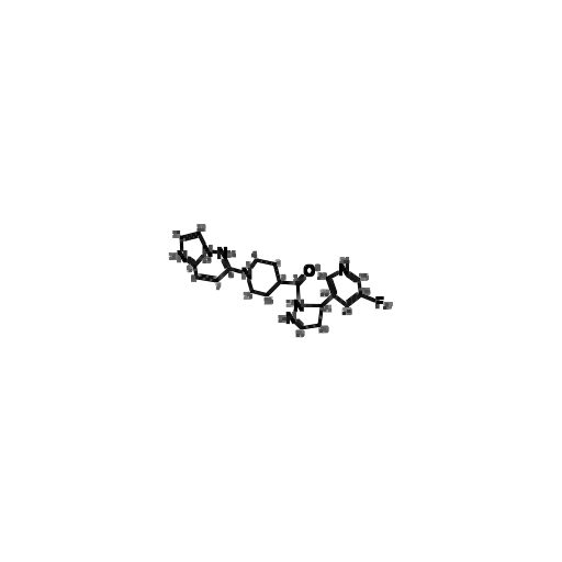 O=C(C1CCN(c2ccc3nccn3n2)CC1)N1N=CCC1c1cncc(F)c1